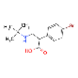 CC(C)(C)NCC(C(=O)O)c1ccc(Br)cc1